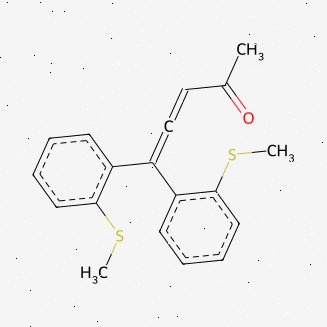 CSc1ccccc1C(=C=CC(C)=O)c1ccccc1SC